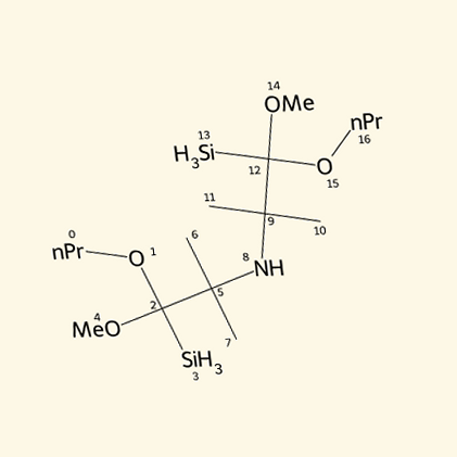 CCCOC([SiH3])(OC)C(C)(C)NC(C)(C)C([SiH3])(OC)OCCC